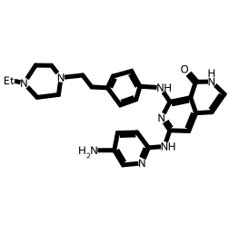 CCN1CCN(CCc2ccc(Nc3nc(Nc4ccc(N)cn4)cc4cc[nH]c(=O)c34)cc2)CC1